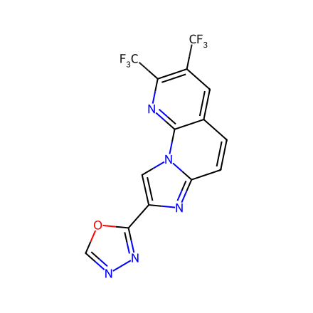 FC(F)(F)c1cc2ccc3nc(-c4nnco4)cn3c2nc1C(F)(F)F